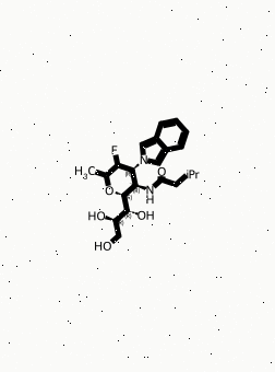 CC(C)CC(=O)N[C@H]1[C@H]([C@H](O)[C@H](O)CO)OC(C)C(F)[C@@H]1n1cc2ccccc2c1